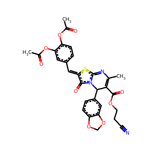 CC(=O)Oc1ccc(C=c2sc3n(c2=O)C(c2ccc4c(c2)OCO4)C(C(=O)OCCC#N)=C(C)N=3)cc1OC(C)=O